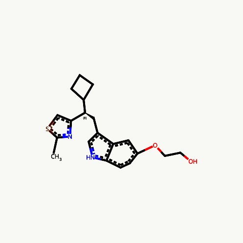 Cc1nc([C@H](Cc2c[nH]c3ccc(OCCO)cc23)C2CCC2)cs1